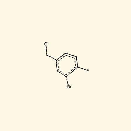 [O]Cc1ccc(F)c(Br)c1